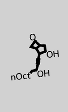 CCCCCCCCCC(O)C#CC1C(O)CC2C(=O)CC21